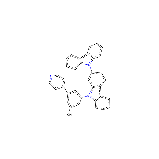 N#Cc1cc(-c2ccncc2)cc(-n2c3ccccc3c3ccc(-n4c5ccccc5c5ccccc54)cc32)c1